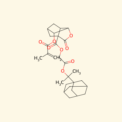 C=C(C)C(=O)OC1C2CC3C1OC(=O)C3(C(=O)OCC(=O)OC(C)(C)C13CC4CC(CC(C4)C1)C3)C2